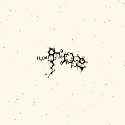 COCCC(=O)Oc1c(OC)ccnc1C(=O)N[C@H]1CCC[C@H](CC2CCCC2)[C@@H](OCC2CC2)[C@H](C)OC1=O